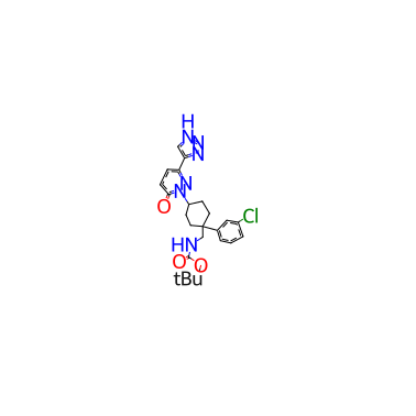 CC(C)(C)OC(=O)NCC1(c2cccc(Cl)c2)CCC(n2nc(-c3c[nH]nn3)ccc2=O)CC1